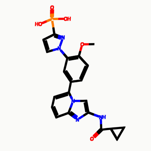 COc1ccc(-c2cccc3nc(NC(=O)C4CC4)cn23)cc1-n1ccc(P(=O)(O)O)n1